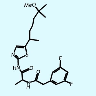 COC(C)(C)CCCC(C)c1cnc(NC(=O)C(C)NC(=O)Cc2cc(F)cc(F)c2)s1